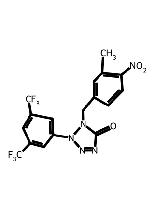 Cc1cc(Cn2c(=O)nnn2-c2cc(C(F)(F)F)cc(C(F)(F)F)c2)ccc1[N+](=O)[O-]